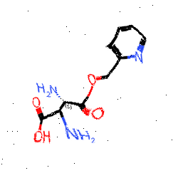 NC(C(=O)O)[C@H](N)C(=O)OCc1ccccn1